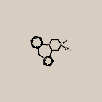 C[N+]1([O-])CCN2c3ccccc3Cn3cccc3C2C1